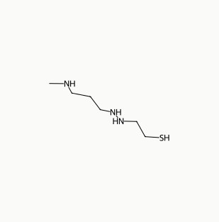 CNCCCNNCCS